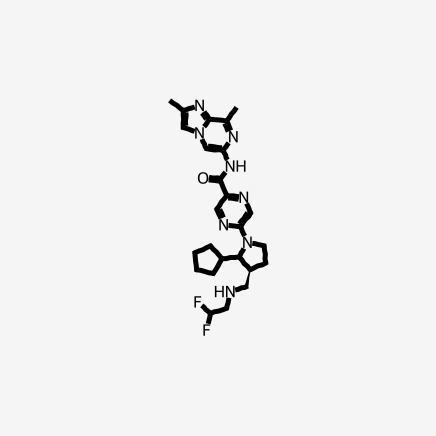 Cc1cn2cc(NC(=O)c3cnc(N4CC[C@@H](CNCC(F)F)C4C4CCCC4)cn3)nc(C)c2n1